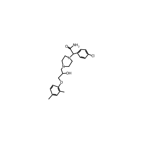 Cc1ccc(OCC(O)CN2CCN(C(C(N)=O)c3ccc(Cl)cc3)CC2)c(C)c1